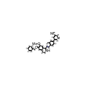 COc1cc2c(cc1OCc1ccccc1)CCNC2/C=C/c1ccc(-c2cncc(C#N)c2)cc1C